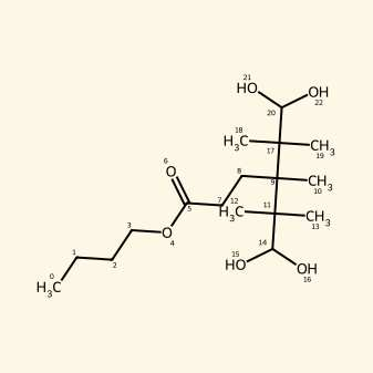 CCCCOC(=O)CCC(C)(C(C)(C)C(O)O)C(C)(C)C(O)O